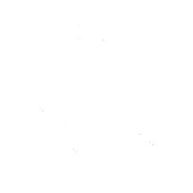 CN(C)C(=O)c1ccc(Cn2cnc(CN(C)C(=O)c3ccc(Cn4cnccc4=O)c(Cl)c3)cc2=O)cc1F